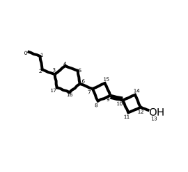 CCCC1CCC(C2CC(=C3CC(O)C3)C2)CC1